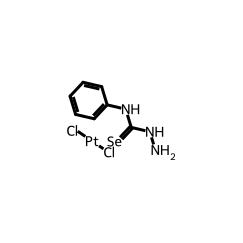 NNC(=[Se])Nc1ccccc1.[Cl][Pt][Cl]